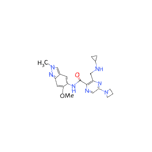 COc1cc2nn(C)cc2cc1NC(=O)c1ncc(N2CCC2)nc1CNC1CC1